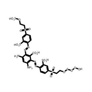 Nc1cc(N)c(/N=N/c2ccc(S(=O)(=O)CCOS(=O)(=O)O)cc2S(=O)(=O)O)c(C(=O)O)c1/N=N/c1ccc(S(=O)(=O)CCOSOOO)cc1S(=O)(=O)O